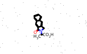 CC(C(=O)O)N1Cc2cc3ccccc3cc2C1=O